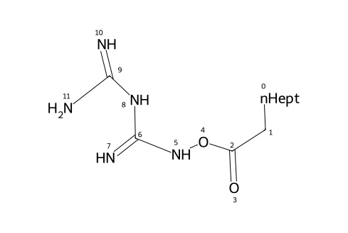 CCCCCCCCC(=O)ONC(=N)NC(=N)N